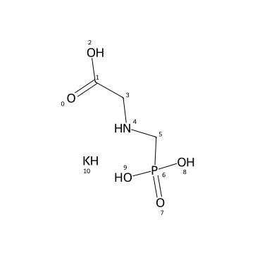 O=C(O)CNCP(=O)(O)O.[KH]